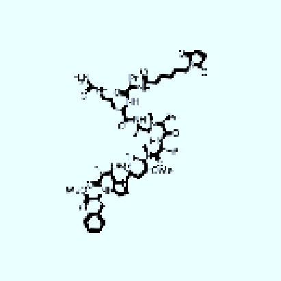 CC[C@H](C)[C@@H]([C@@H](CC(=O)N1CCC[C@H]1[C@H](OC)[C@@H](C)C(=O)N[C@@H](Cc1ccccc1)C(=O)OC)OC)N(C)C(=O)[C@@H](NC(=O)[C@H](C(C)C)N(C)C[C@@H](C)NC(=O)[C@H](CCCNC(N)=O)NC(=O)[C@@H](NC(=O)CCCCCN1C(=O)C=CC1=O)C(C)C)C(C)C